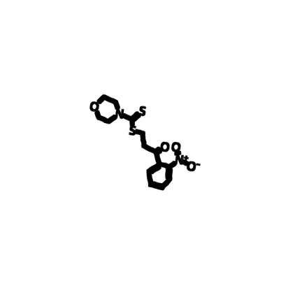 O=C(CCSC(=S)N1CCOCC1)c1ccccc1[N+](=O)[O-]